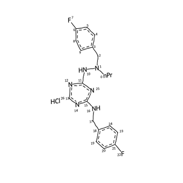 CCCN(Cc1ccc(F)cc1)Nc1ncnc(NCc2ccc(F)cc2)n1.Cl